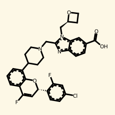 O=C(O)c1ccc2nc(CN3CCC(c4cccc5c4O[C@H](c4ccc(Cl)cc4F)C=C5F)CC3)n(C[C@@H]3CCO3)c2c1